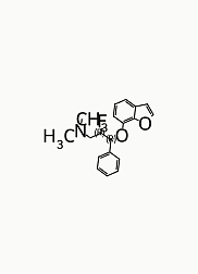 CN(C)C[C@@H](F)[C@H](Oc1cccc2ccoc12)c1ccccc1